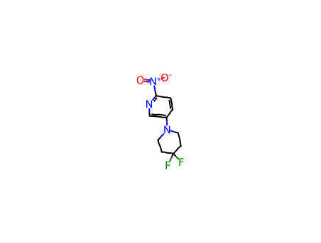 O=[N+]([O-])c1ccc(N2CCC(F)(F)CC2)cn1